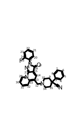 N#CC1(c2ccccc2)CCN(Cc2cc3c(=O)n(-c4ccccc4F)nc-3n3ccccc23)CC1